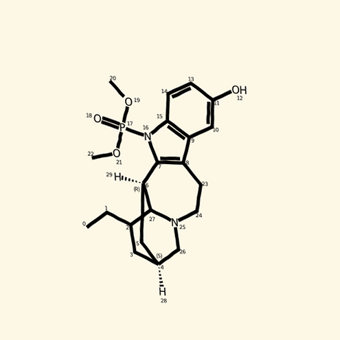 CCC1C[C@H]2C[C@H]3c4c(c5cc(O)ccc5n4P(=O)(OC)OC)CCN(C2)C13